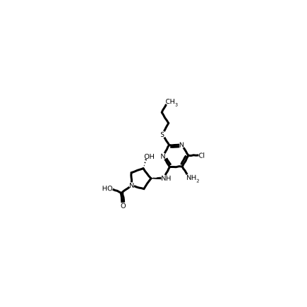 CCCSc1nc(Cl)c(N)c(N[C@H]2CN(C(=O)O)C[C@@H]2O)n1